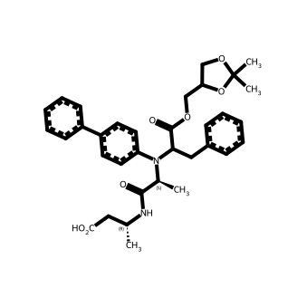 C[C@H](CC(=O)O)NC(=O)[C@H](C)N(c1ccc(-c2ccccc2)cc1)C(Cc1ccccc1)C(=O)OCC1COC(C)(C)O1